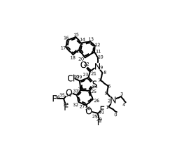 CCN(CC)CCCCN(Cc1ccc2ccccc2c1)C(=O)c1sc2cc(OC(F)F)cc(OC(F)F)c2c1Cl